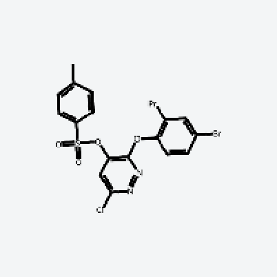 Cc1ccc(S(=O)(=O)Oc2cc(Cl)nnc2Oc2ccc(Br)cc2C(C)C)cc1